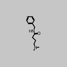 CN(C)CCCC(=O)NCc1cc[c]cc1